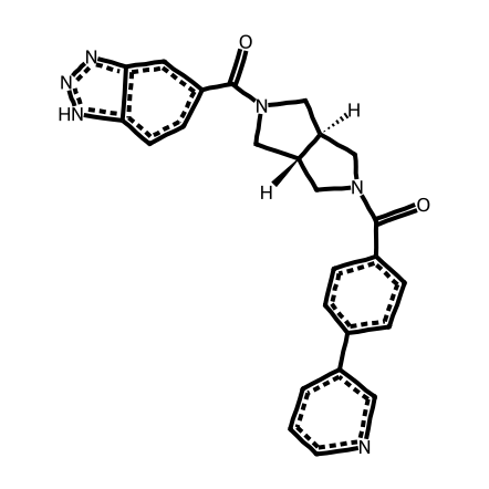 O=C(c1ccc(-c2cccnc2)cc1)N1C[C@@H]2CN(C(=O)c3ccc4[nH]nnc4c3)C[C@H]2C1